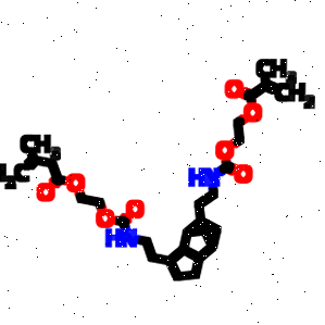 C=C(C)CC(=O)OCCOC(=O)NCCC1CCC2C3CC(CCNC(=O)OCCOC(=O)C(=C)C)C(C3)C12